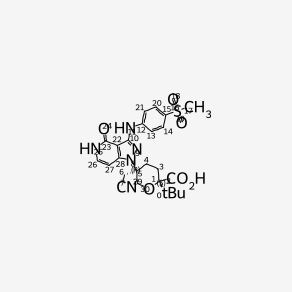 CC(C)(C)[C@]1(C(=O)O)CC[C@](CC#N)(n2nc(Nc3ccc(S(C)(=O)=O)cc3)c3c(=O)[nH]ccc32)CO1